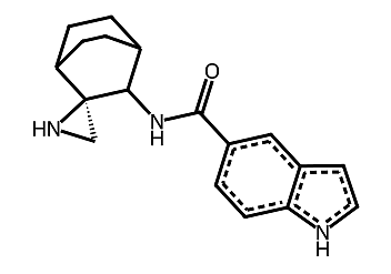 O=C(NC1C2CCC(CC2)[C@@]12CN2)c1ccc2[nH]ccc2c1